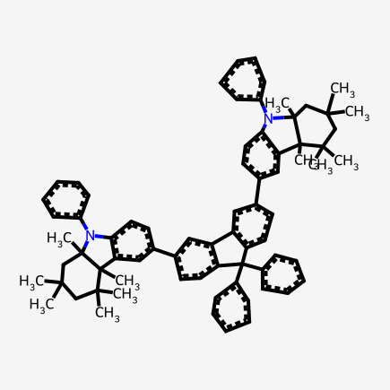 CC1(C)CC(C)(C)C2(C)c3cc(-c4ccc5c(c4)-c4cc(-c6ccc7c(c6)C6(C)C(C)(C)CC(C)(C)CC6(C)N7c6ccccc6)ccc4C5(c4ccccc4)c4ccccc4)ccc3N(c3ccccc3)C2(C)C1